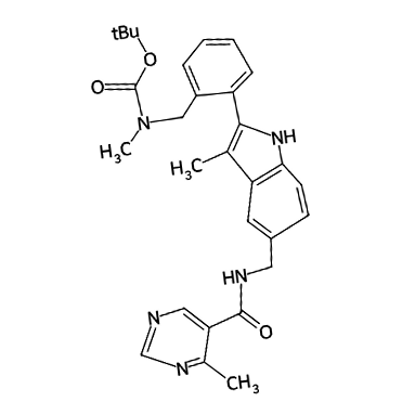 Cc1ncncc1C(=O)NCc1ccc2[nH]c(-c3ccccc3CN(C)C(=O)OC(C)(C)C)c(C)c2c1